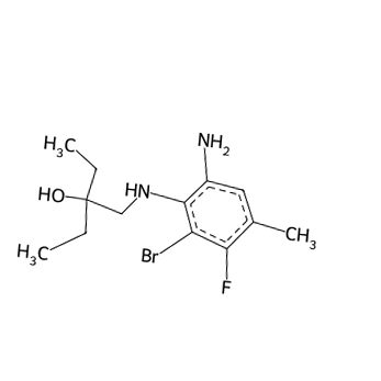 CCC(O)(CC)CNc1c(N)cc(C)c(F)c1Br